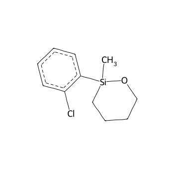 C[Si]1(c2ccccc2Cl)CCCCO1